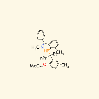 CCCC(CC)(Pc1c(C)cccc1/C(=N/C)c1ccccc1)c1cc(C)ccc1OCOC